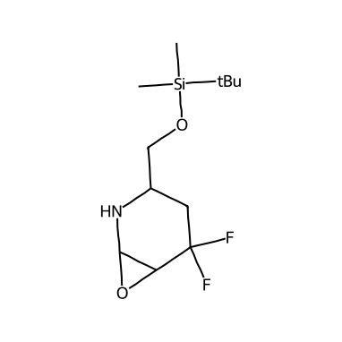 CC(C)(C)[Si](C)(C)OCC1CC(F)(F)C2OC2N1